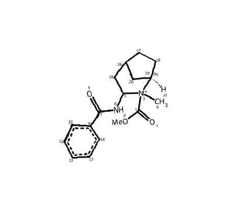 COC(=O)[N+]1(C)C(NC(=O)c2ccccc2)CC2CC[C@@H]1C2